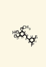 COc1cc(/C=C/c2cc(F)cc(F)c2)cc(C=O)c1O